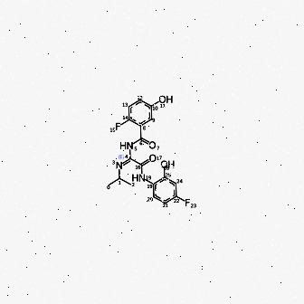 CC(C)/N=C(/NC(=O)c1cc(O)ccc1F)C(=O)Nc1ccc(F)cc1O